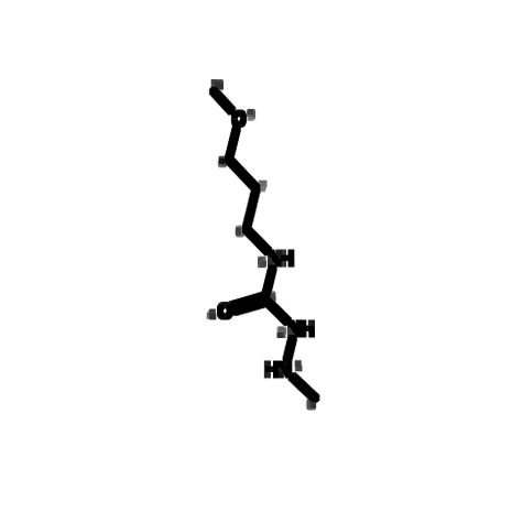 CNNC(=O)NCCCOC